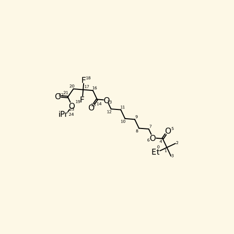 CCC(C)(C)C(=O)OCCCCCCOC(=O)CC(F)(F)CC(=O)OC(C)C